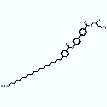 CCCCCCCCCCCCCCCCCCCCc1ccc(C(=O)Oc2ccc(-c3ccc(C(=O)OCC(C)CC)cc3)cc2)cc1